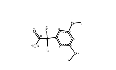 COc1cc(OC)cc(C(F)(F)C(=O)O)c1